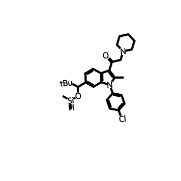 Cc1c(C(=O)CN2CCCCC2)c2ccc(C(O[SiH](C)C)C(C)(C)C)cc2n1-c1ccc(Cl)cc1